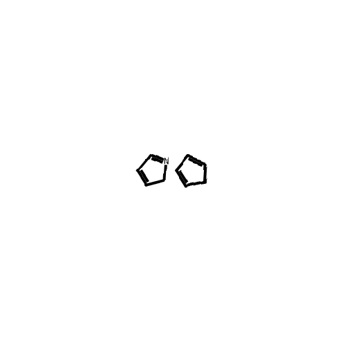 C1=CCC=C1.C1=CCN=C1